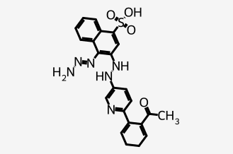 CC(=O)C1=CCCC=C1c1ccc(NNc2cc(S(=O)(=O)O)c3ccccc3c2N=NN)cn1